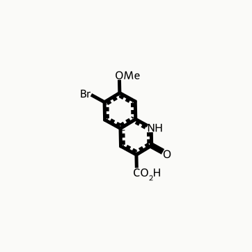 COc1cc2[nH]c(=O)c(C(=O)O)cc2cc1Br